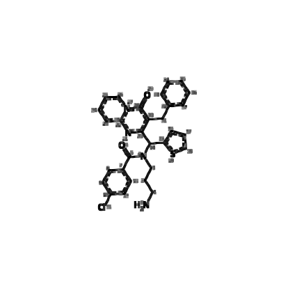 NCCCN(C(=O)c1ccc(Cl)cc1)C(c1cccs1)c1nc2ccccn2c(=O)c1Cc1ccccc1